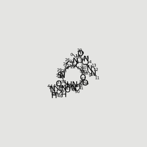 CCn1c(-c2cc(N3CCN(C)CC3)cnc2[C@H](C)OC)c2c3cc(ccc31)C1CSC(=N1)C[C@H](NC(=O)[C@]13CC[C@H]1CN(C)C3)C(=O)N1CCC[C@@](C)(N1)C(=O)OCC(C)(C)C2